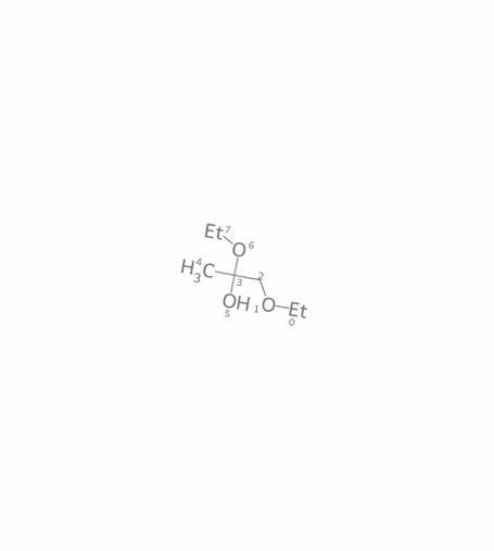 CCOCC(C)(O)OCC